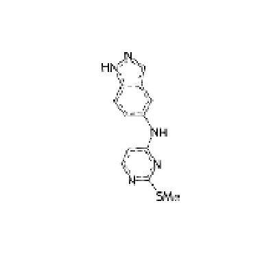 CSc1nccc(Nc2ccc3[nH]ncc3c2)n1